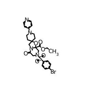 CCOC(=O)C12CN(S(=O)(=O)c3ccc(Br)cc3)CC(=O)N1CC1(CCN(c3ccncc3)CC1)O2